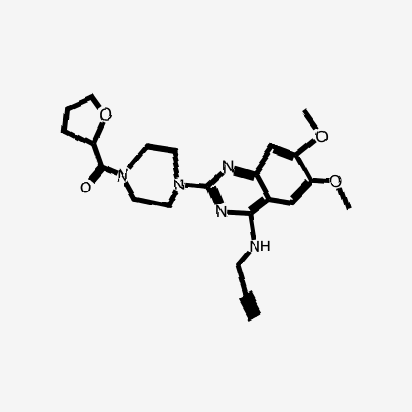 C#CCNc1nc(N2CCN(C(=O)C3CCCO3)CC2)nc2cc(OC)c(OC)cc12